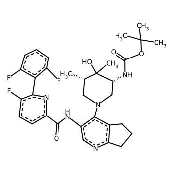 C[C@H]1CN(c2c(NC(=O)c3ccc(F)c(-c4c(F)cccc4F)n3)cnc3c2CC[CH]3)C[C@@H](NC(=O)OC(C)(C)C)C1(C)O